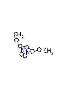 C=Cc1ccc(-c2ccc3c(c2)c2ccc4c5cc(-c6ccc(C=C)cc6)ccc5n(-c5ccccc5)c4c2n3-c2ccccc2)cc1